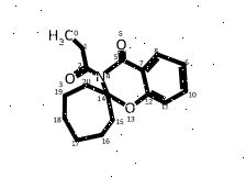 CCC(=O)N1C(=O)c2ccccc2OC12CCCCCC2